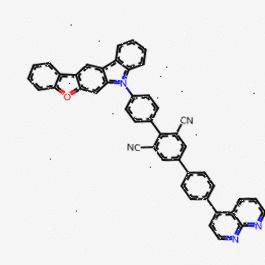 N#Cc1cc(-c2ccc(-c3ccnc4ncccc34)cc2)cc(C#N)c1-c1ccc(-n2c3ccccc3c3cc4c(cc32)oc2ccccc24)cc1